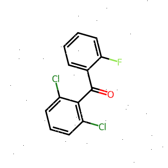 O=C(c1ccccc1F)c1c(Cl)cccc1Cl